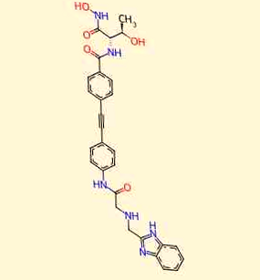 C[C@@H](O)[C@H](NC(=O)c1ccc(C#Cc2ccc(NC(=O)CNCc3nc4ccccc4[nH]3)cc2)cc1)C(=O)NO